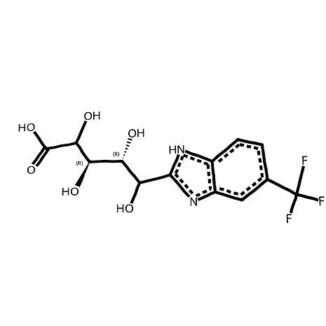 O=C(O)C(O)[C@H](O)[C@H](O)C(O)c1nc2cc(C(F)(F)F)ccc2[nH]1